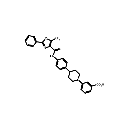 O=C(O)c1cccc(N2CCC(c3ccc(NC(=O)c4nc(-c5ccccc5)oc4C(F)(F)F)cc3)CC2)c1